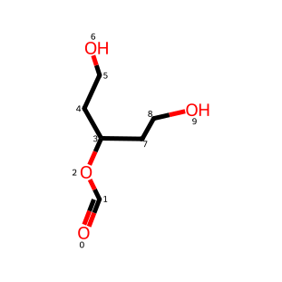 O=COC(CCO)CCO